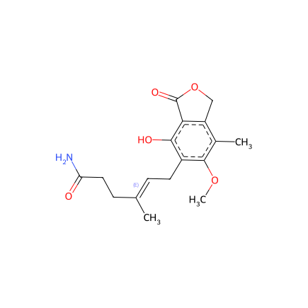 COc1c(C)c2c(c(O)c1C/C=C(\C)CCC(N)=O)C(=O)OC2